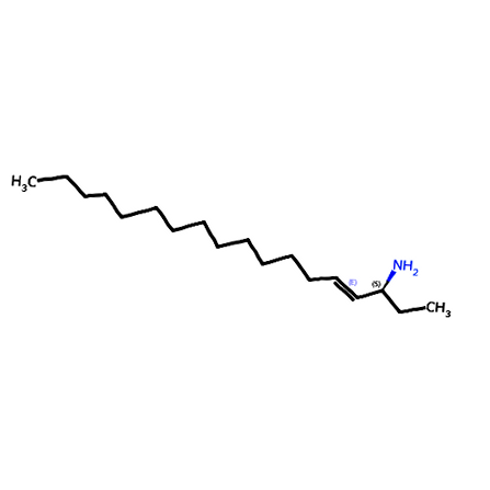 CCCCCCCCCCCCC/C=C/[C@@H](N)CC